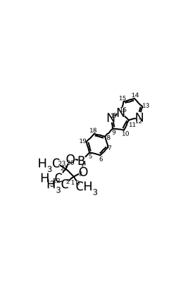 CC1(C)OB(c2ccc(-c3cc4ncccn4n3)cc2)OC1(C)C